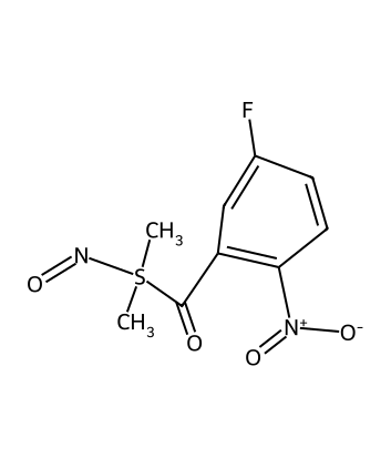 CS(C)(N=O)C(=O)c1cc(F)ccc1[N+](=O)[O-]